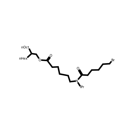 CCCCCCCCC(CCCCCC)COC(=O)CCCCCN(C(=O)CCCCCBr)C(C)C